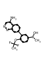 CB(O)c1ccc(OC(C)(F)F)c(-c2ccc3c(N)cnnc3c2)c1